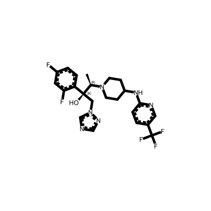 C[C@@H](N1CCC(Nc2ccc(C(F)(F)F)cn2)CC1)[C@](O)(Cn1cncn1)c1ccc(F)cc1F